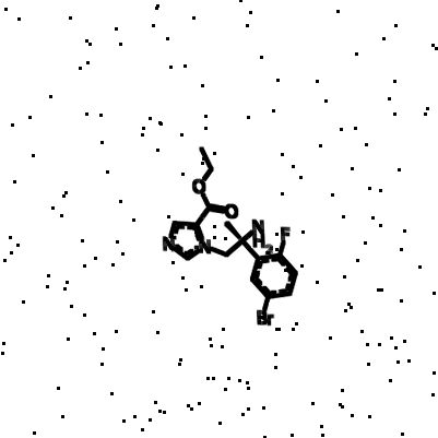 CCOC(=O)c1cncn1C[C@](C)(N)c1cc(Br)ccc1F